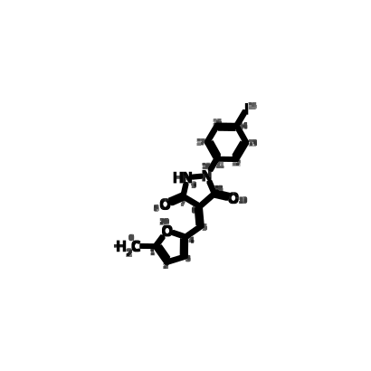 [CH2]c1ccc(/C=C2\C(=O)NN(c3ccc(I)cc3)C2=O)o1